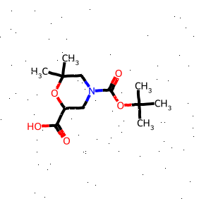 CC(C)(C)OC(=O)N1CC(C(=O)O)OC(C)(C)C1